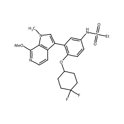 CCS(=O)(=O)Nc1ccc(OC2CCC(F)(F)CC2)c(-c2cn(C)c3c(OC)nccc23)c1